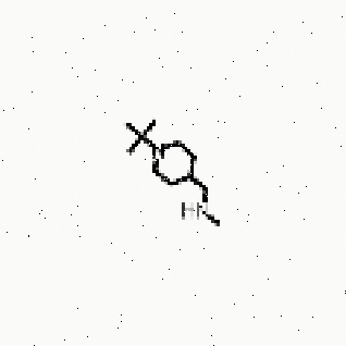 CNCC1CCN(C(C)(C)C)CC1